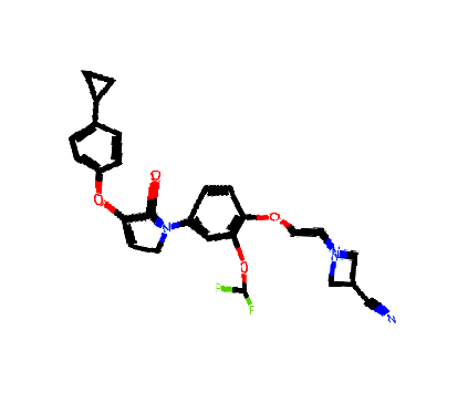 N#CC1CN(CCOc2ccc(N3CC=C(Oc4ccc(C5CC5)cc4)C3=O)cc2OC(F)F)C1